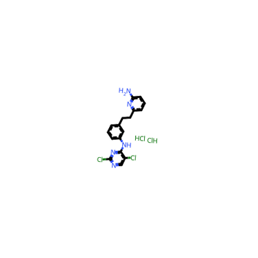 Cl.Cl.Nc1cccc(CCc2cccc(Nc3nc(Cl)ncc3Cl)c2)n1